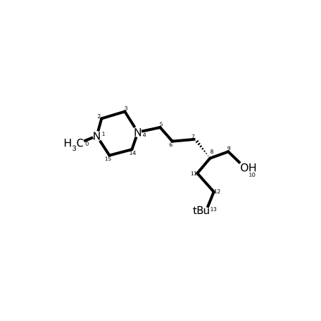 CN1CCN(CCC[C@H](CO)CCC(C)(C)C)CC1